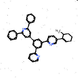 CC1CCCC=C1c1ccc(-c2cc(-c3cc(-c4ccccc4)nc(-c4ccccc4)c3)cc(-c3ccccn3)c2)nc1